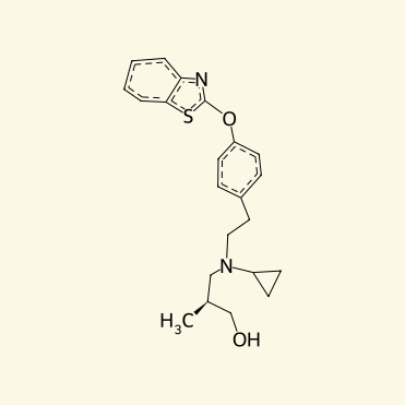 C[C@H](CO)CN(CCc1ccc(Oc2nc3ccccc3s2)cc1)C1CC1